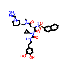 CN(C[C@H]1CCCN(C=NN)C1)C(=O)C[C@H](NS(=O)(=O)c1ccc2ccccc2c1)C(=O)N(C(=O)NCCc1ccc(O)c(O)c1)C1CC1